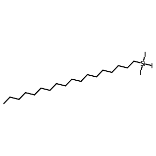 CCCCCCCCCCCCCCCCCC[Si](I)(I)I